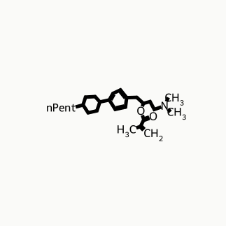 C=C(C)C(=O)OC(CCN(C)C)Cc1ccc(C2CCC(CCCCC)CC2)cc1